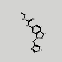 CCNC(=O)Nc1ccc2c(c1)N(Cc1c[nH]cn1)CC2